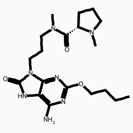 CCCCOc1nc(N)c2[nH]c(=O)n(CCCN(C)C(=O)[C@@H]3CCCN3C)c2n1